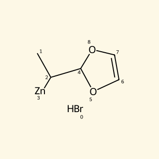 Br.C[CH]([Zn])C1OC=CO1